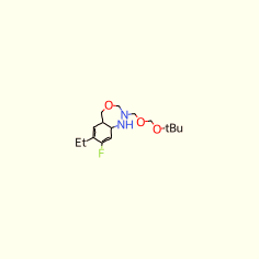 CCC1=CC2COCN(COCOC(C)(C)C)NC2C=C1F